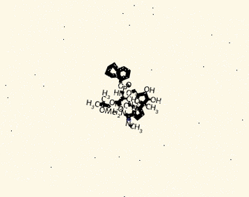 C=Nn1c(/C(N)=N\C)ccc1[C@]1(C)O[C@H](COP(=O)(N[C@@H](C)C(=O)OCC(C)(C)OC)Oc2cccc3ccccc23)[C@@H](O)[C@H]1O